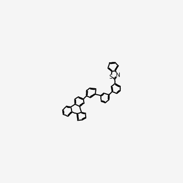 c1cc(-c2cccc(-c3ccc4c5ccccc5c5ccccc5c4c3)c2)cc(-c2cccc(-c3nc4ccccc4s3)c2)c1